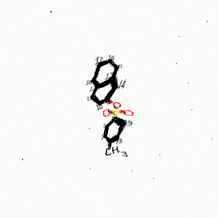 Cc1ccc(S(=O)(=O)Oc2ccc3c(c2)CCCC3)cc1